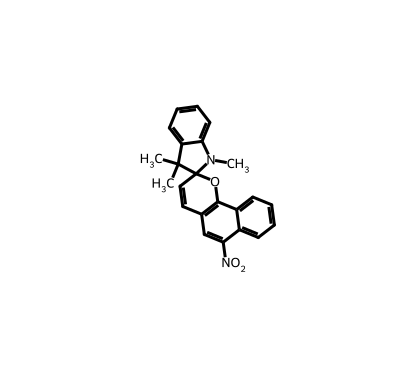 CN1c2ccccc2C(C)(C)C12C=Cc1cc([N+](=O)[O-])c3ccccc3c1O2